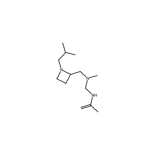 C=C(C)NCN(C)CC1CCN1CC(C)C